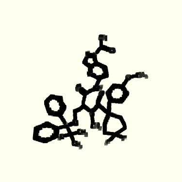 COc1ccc(C2(C(=O)N(C)C(CO[Si](c3ccccc3)(c3ccccc3)C(C)(C)C)C(=O)Nc3ccc4c(cnn4C(=O)O)n3)CCC(F)(F)CC2)cc1